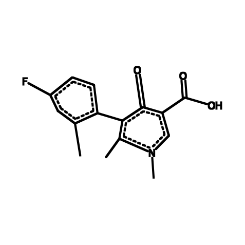 Cc1cc(F)ccc1-c1c(C)n(C)cc(C(=O)O)c1=O